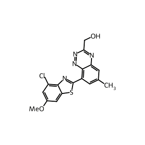 COc1cc(Cl)c2nc(-c3cc(C)cc4nc(CO)nnc34)sc2c1